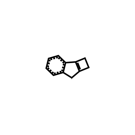 [CH]1C2=C(CC2)c2ccccc21